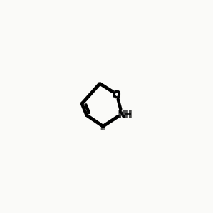 [C]1C=CCON1